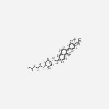 CCCCCC[C@H]1CC[C@H](CCc2ccc3c(F)c(-c4ccc(C(F)(F)F)cc4)ccc3c2)CC1